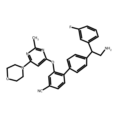 Cc1nc(Oc2cc(C#N)ccc2-c2ccc(C(CN)c3cccc(F)c3)cc2)cc(N2CCOCC2)n1